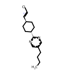 CCCCc1cnc([C@H]2CC[C@H](/C=C/Cl)CC2)nc1